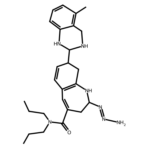 CCCN(CCC)C(=O)C1=CC2=C(CC(C3NCc4c(C)cccc4N3)C=C2)NC(N=NN)C1